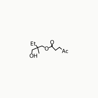 CCC(C)(CO)COC(=O)CCC(C)=O